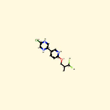 CC(COc1ccc(-c2cnc(Cl)cn2)cn1)C(F)F